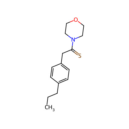 CCCc1ccc(CC(=S)N2CCOCC2)cc1